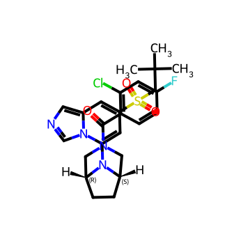 CC(C)(C)CS(=O)(=O)c1cc(N2[C@@H]3CC[C@H]2CN(C(=O)c2ccc(F)cc2Cl)C3)n2cncc2c1